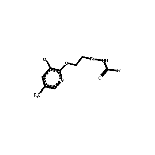 CC(C)C(=O)[NH][Fe][CH2]COc1ncc(C(F)(F)F)cc1Cl